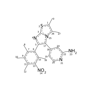 Cc1sc2nc(-c3c(C)c(C)c(C)c([N+](=O)[O-])c3C)c(-c3ccnc(N)c3)n2c1C